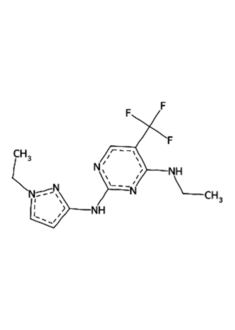 CCNc1nc(Nc2ccn(CC)n2)ncc1C(F)(F)F